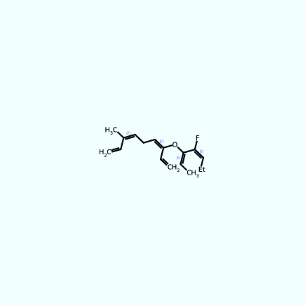 C=C/C(C)=C\C/C=C(\C=C)OC(=C/C)/C(F)=C\CC